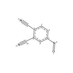 N#Cc1ccc(N=O)cc1C#N